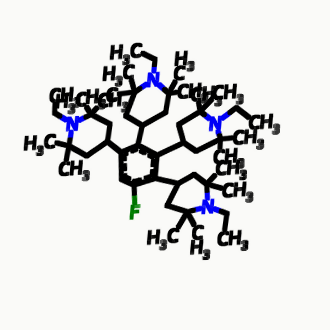 CCN1C(C)(C)CC(c2cc(F)c(C3CC(C)(C)N(CC)C(C)(C)C3)c(C3CC(C)(C)N(CC)C(C)(C)C3)c2C2CC(C)(C)N(CC)C(C)(C)C2)CC1(C)C